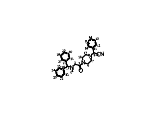 CN(CC(=O)N1CCN(C(C#N)c2cccnc2)CC1)C(c1ccccc1)c1ccccc1